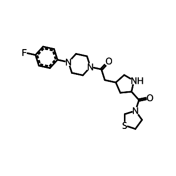 O=C(CC1CNC(C(=O)N2CCSC2)C1)N1CCN(c2ccc(F)cc2)CC1